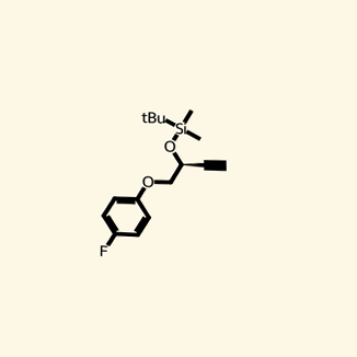 C#C[C@@H](COc1ccc(F)cc1)O[Si](C)(C)C(C)(C)C